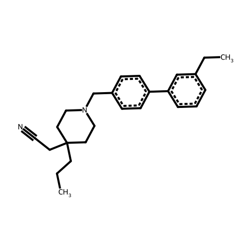 CCCC1(CC#N)CCN(Cc2ccc(-c3cccc(CC)c3)cc2)CC1